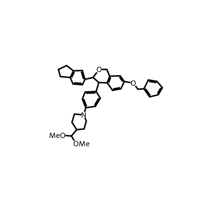 COC(OC)C1CCN(c2ccc(C3c4ccc(OCc5ccccc5)cc4COC3c3ccc4c(c3)CCC4)cc2)CC1